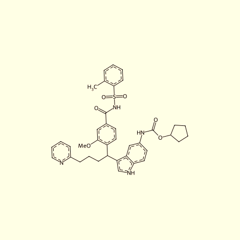 COc1cc(C(=O)NS(=O)(=O)c2ccccc2C)ccc1C(CCCc1ccccn1)c1c[nH]c2ccc(NC(=O)OC3CCCC3)cc12